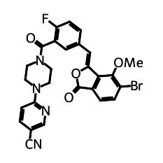 COc1c(Br)ccc2c1C(=Cc1ccc(F)c(C(=O)N3CCN(c4ccc(C#N)cn4)CC3)c1)OC2=O